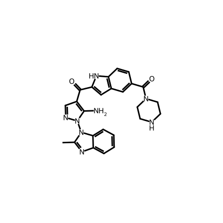 Cc1nc2ccccc2n1-n1ncc(C(=O)c2cc3cc(C(=O)N4CCNCC4)ccc3[nH]2)c1N